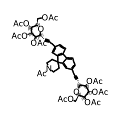 CC(=O)OC[C@H]1O[C@H](C#Cc2ccc3c(c2)C2(CCN(C(C)=O)CC2)c2cc(C#C[C@H]4O[C@H](COC(C)=O)[C@@H](OC(C)=O)[C@@H](OC(C)=O)[C@@H]4OC(C)=O)ccc2-3)[C@@H](OC(C)=O)[C@@H](OC(C)=O)[C@@H]1OC(C)=O